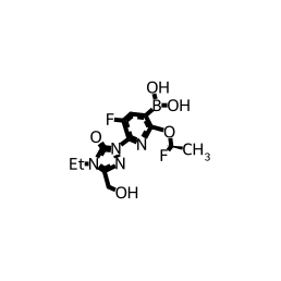 CCn1c(CO)nn(-c2nc(O[C@@H](C)F)c(B(O)O)cc2F)c1=O